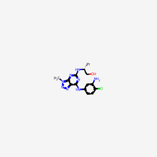 CC(C)[C@H](CO)Nc1nc(Nc2ccc(Cl)c(N)c2)c2nnn(C)c2n1